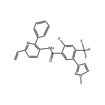 C=Cc1ccc(NC(=O)c2cc(-c3ccn(C)n3)c(C(F)(F)F)cc2F)c(-c2ccccc2)n1